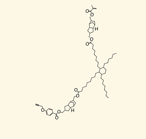 C#CCOc1ccc(C(=O)OCC2CC3C4CC(CC4COC(=O)CCCCCCCCC4C(CCCCCCCC)CCC(CCCCCC)C4CCCCCCCCC(=O)OCC4CC5C6CC(CC6COC(=O)C(=C)C)[C@H]5C4)[C@H]3C2)cc1